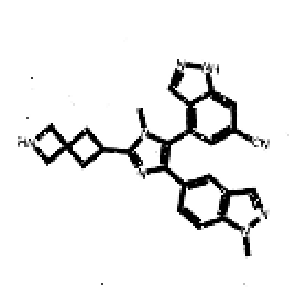 Cn1c(C2CC3(CNC3)C2)nc(-c2ccc3c(cnn3C)c2)c1-c1cc(C#N)cc2[nH]ncc12